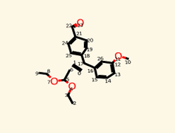 C=C.CCOC(C)OCC.COc1cccc(Cc2ccc(C=O)cc2)c1